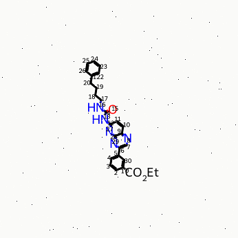 CCOC(=O)c1cccc(-c2cnc3ccc(NC(=O)NCCCCc4ccccc4)nc3n2)c1